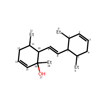 CCC1C=CCC(CC)C1/C=C/C1C(CC)CC=CC1(O)CC